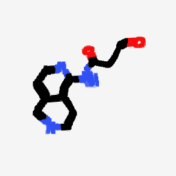 O=CCC(=O)Nc1nccc2cnccc12